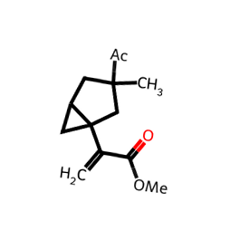 C=C(C(=O)OC)C12CC1CC(C)(C(C)=O)C2